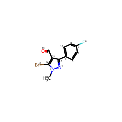 Cn1nc(-c2ccc(F)cc2)c(C=O)c1Br